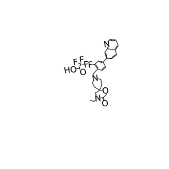 CCN1CC2(CCN(Cc3ccc(-c4ccc5cccnc5c4)cc3F)CC2)OCC1=O.O=C(O)C(F)(F)F